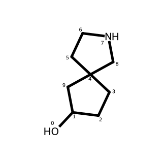 OC1CCC2(CCNC2)C1